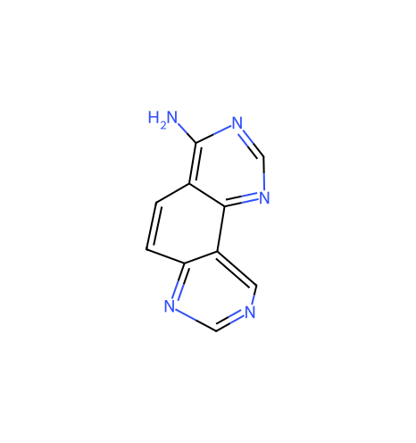 Nc1ncnc2c1ccc1ncncc12